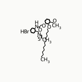 Br.CCCCCCCCCCCCCCOc1c(OCC(=O)Nc2ccccc2CN2C=C(C)SC2)cccc1C(C)=O